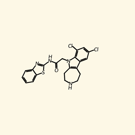 O=C(Cn1c2c(c3cc(Cl)cc(Cl)c31)CCNCC2)Nc1nc2ccccc2s1